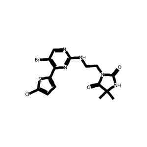 CC1(C)NC(=O)N(CCNc2ncc(Br)c(-c3ccc(Cl)s3)n2)C1=O